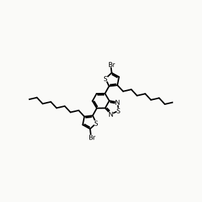 CCCCCCCCc1cc(Br)sc1-c1ccc(-c2sc(Br)cc2CCCCCCCC)c2nsnc12